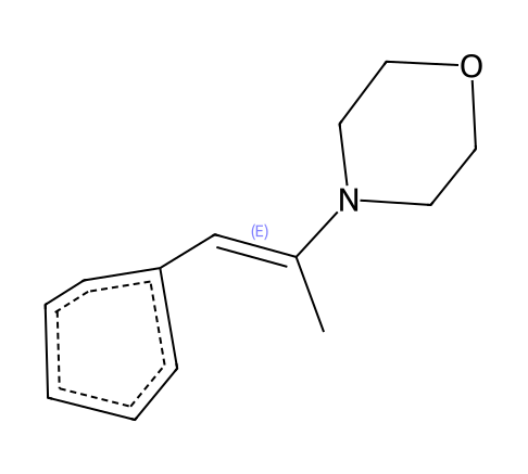 C/C(=C\c1ccccc1)N1CCOCC1